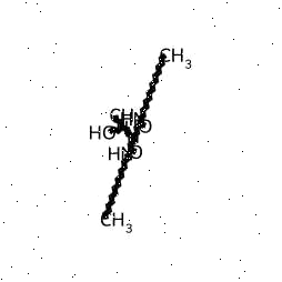 CCCCCCCCCCCCCCCNC(=O)CCN(CCC(=O)NCCCCCCCCCCCCCCC)CCN(CCC)CCO